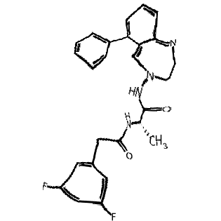 C[C@H](NC(=O)Cc1cc(F)cc(F)c1)C(=O)NN1C=c2c(-c3ccccc3)cccc2=NCC1